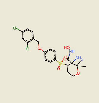 CC1(C)OCCC(S(=O)(=O)c2ccc(OCc3ccc(Cl)cc3Cl)cc2)C1(N)C(=O)NO